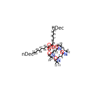 CC1(C)COC(CCC2=NC(C)(C)CO2)=N1.CC1(C)COC(CCC2=NC(C)(C)CO2)=N1.CCCCCCCCCCCCCCCCCC(=O)OC(=O)CCCCCCCCCCCCCCCCC